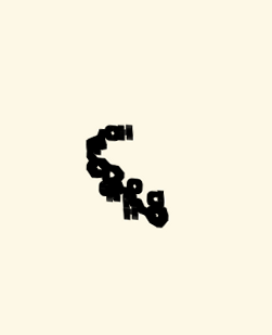 O=C(NCCc1ccccc1Cl)c1noc2c1CCc1cc(CN3CC(CO)C3)ccc1-2